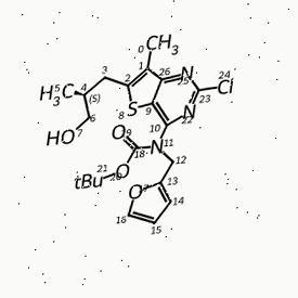 Cc1c(C[C@H](C)CO)sc2c(N(Cc3ccco3)C(=O)OC(C)(C)C)nc(Cl)nc12